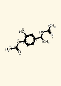 CC(=O)NC(C)c1ccc(OC(N)=O)c(O)c1